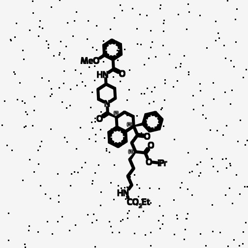 CCOC(=O)NCCCC[C@@H](CC(=O)[C@@]1(c2ccccc2)CC[C@H](C(=O)N2CCC(NC(=O)c3ccccc3OC)CC2)c2ccccc21)C(=O)OC(C)C